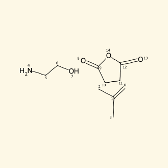 C=C(C)C.NCCO.O=C1CCC(=O)O1